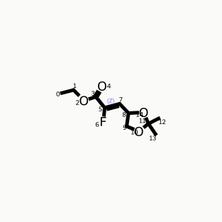 CCOC(=O)/C(F)=C/C1COC(C)(C)O1